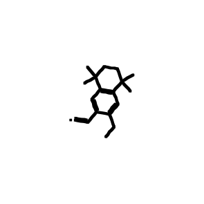 [CH]=Cc1cc2c(cc1CC)C(C)(C)CCC2(C)C